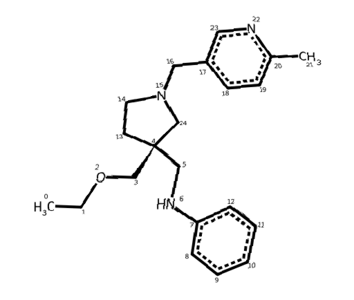 CCOC[C@@]1(CNc2ccccc2)CCN(Cc2ccc(C)nc2)C1